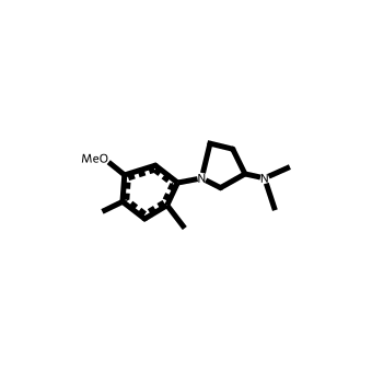 COc1cc(N2CCC(N(C)C)C2)c(C)cc1C